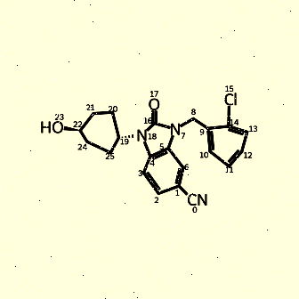 N#Cc1ccc2c(c1)n(Cc1ccccc1Cl)c(=O)n2[C@H]1CC[C@H](O)CC1